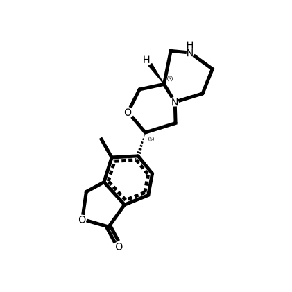 Cc1c([C@H]2CN3CCNC[C@H]3CO2)ccc2c1COC2=O